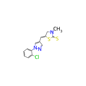 CN1C/C(=C/c2cnn(-c3ccccc3Cl)c2)SC1=S